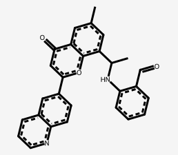 Cc1cc(C(C)Nc2ccccc2C=O)c2oc(-c3ccc4ncccc4c3)cc(=O)c2c1